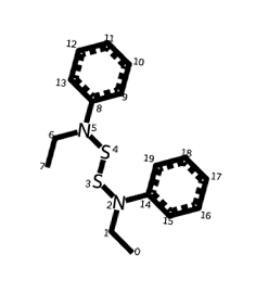 CCN(SSN(CC)c1ccccc1)c1ccccc1